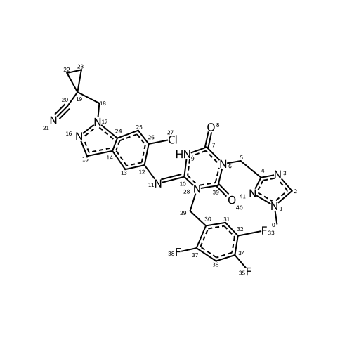 Cn1cnc(Cn2c(=O)[nH]/c(=N\c3cc4cnn(CC5(C#N)CC5)c4cc3Cl)n(Cc3cc(F)c(F)cc3F)c2=O)n1